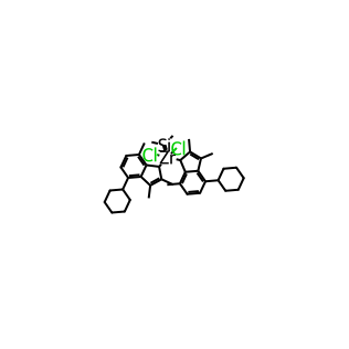 CC1=C(C)[CH]([Zr]([Cl])([Cl])([CH]2C(C)=C(C)c3c(C4CCCCC4)ccc(C)c32)=[Si](C)C)c2c(C)ccc(C3CCCCC3)c21